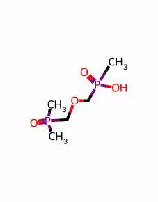 CP(C)(=O)COCP(C)(=O)O